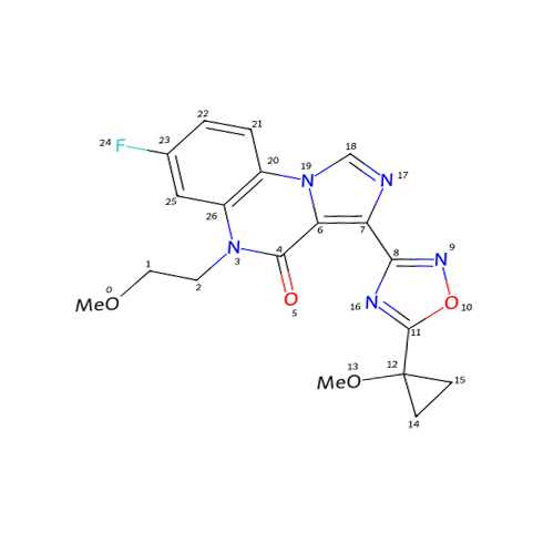 COCCn1c(=O)c2c(-c3noc(C4(OC)CC4)n3)ncn2c2ccc(F)cc21